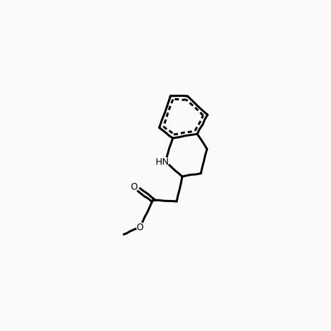 COC(=O)CC1CCc2ccccc2N1